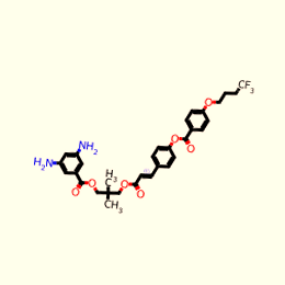 CC(C)(COC(=O)/C=C/c1ccc(OC(=O)c2ccc(OCCCC(F)(F)F)cc2)cc1)COC(=O)c1cc(N)cc(N)c1